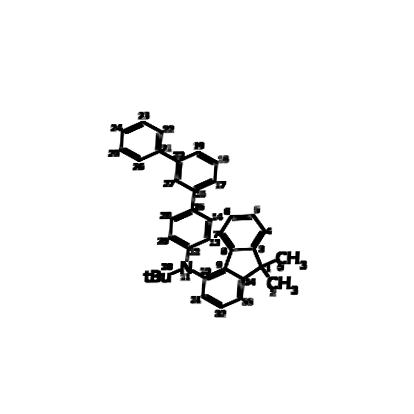 CC1(C)c2ccccc2-c2c(N(c3ccc(-c4cccc(-c5ccccc5)c4)cc3)C(C)(C)C)cccc21